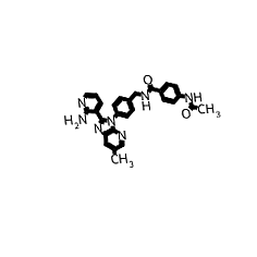 CC(=O)Nc1ccc(C(=O)NCc2ccc(-n3c(-c4cccnc4N)nc4cc(C)cnc43)cc2)cc1